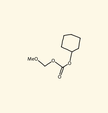 COCOC(=O)OC1CCCCC1